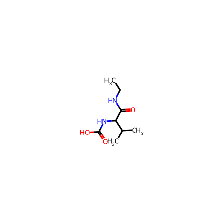 CCNC(=O)C(NC(=O)O)C(C)C